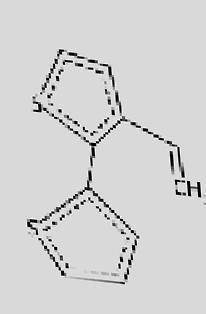 C=Cc1ccsc1-c1cccs1